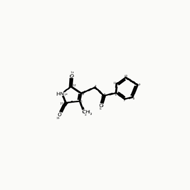 CC1=C(CC(=O)c2ccccc2)C(=O)NC1=O